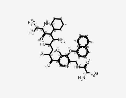 CC[C@H](C)[C@H](N)C(=O)NCc1ncc(C(=O)C(CC(O)C(N)C(C(=O)[C@@H](N)[C@@H](C)O)C2CCCCC2)C(C)C)c(C(C)=O)c1Oc1cccc2ccccc12